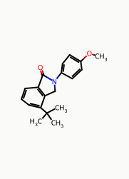 COc1ccc(N2Cc3c(cccc3C(C)(C)C)C2=O)cc1